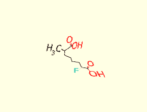 CC(CCCC[C@@H](F)C(=O)O)C(=O)O